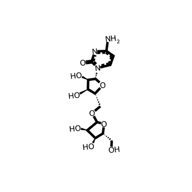 Nc1ccn([C@@H]2O[C@H](COC3O[C@H](CO)[C@@H](O)[C@H]3O)[C@@H](O)[C@H]2O)c(=O)n1